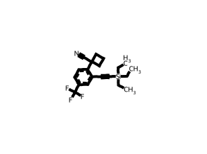 CC[Si](C#Cc1cc(C(F)(F)F)ccc1C1(C#N)CCC1)(CC)CC